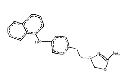 NC1=N[C@@H](CCc2ccc(Nc3cccc4ccccc34)cc2)CO1